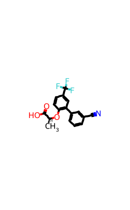 C[C@H](Oc1ccc(C(F)(F)F)cc1-c1cccc(C#N)c1)C(=O)O